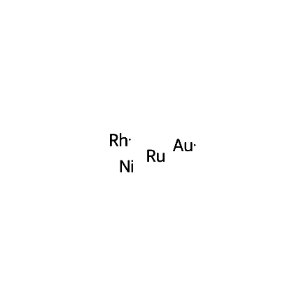 [Au].[Ni].[Rh].[Ru]